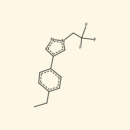 CCc1ccc(-c2cnn(CC(F)(F)F)c2)cc1